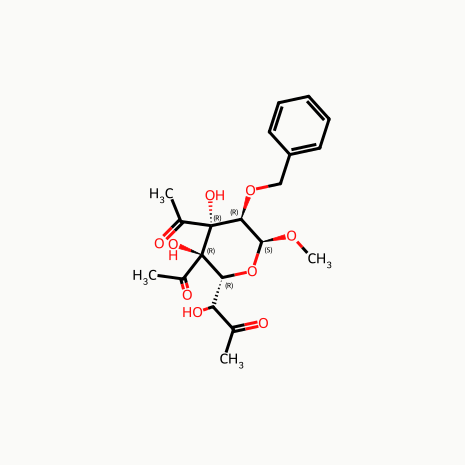 CO[C@H]1O[C@H](C(O)C(C)=O)[C@](O)(C(C)=O)[C@@](O)(C(C)=O)[C@H]1OCc1ccccc1